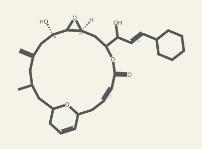 C=C1CC(C)CC2CC=CC(C/C=C\C(=O)OC(C(O)/C=C/C3CCCCC3)C[C@@H]3OC3[C@@H](O)C1)O2